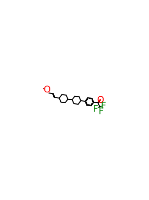 COCC=CC1CCC(C2CCC(c3ccc(C(=O)C(F)(F)F)cc3)CC2)CC1